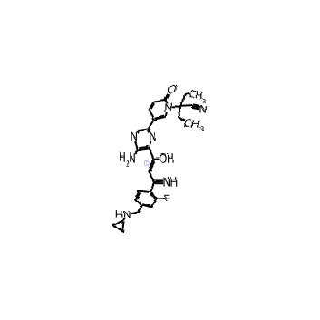 CCC(C#N)(CC)n1cc(-c2cnc(N)c(/C(O)=C/C(=N)c3ccc(CNC4CC4)cc3F)n2)ccc1=O